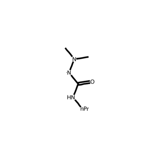 CCCNC(=O)[N]N(C)C